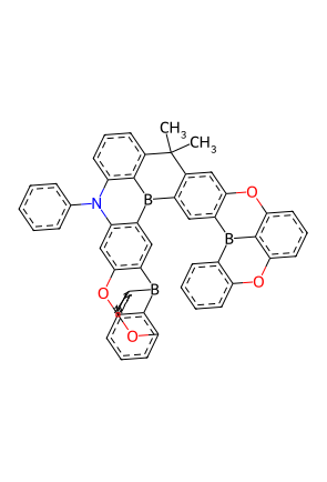 CC1(C)c2cc3c(cc2B2c4cc5c(cc4N(c4ccccc4)c4cccc1c42)Oc1cccc2c1B5c1ccccc1O2)B1c2ccccc2Oc2cccc(c21)O3